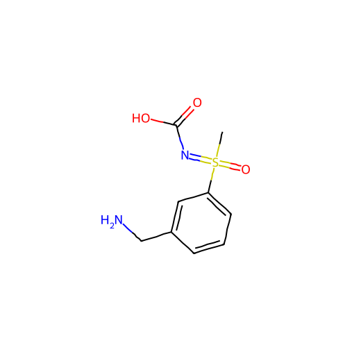 CS(=O)(=NC(=O)O)c1cccc(CN)c1